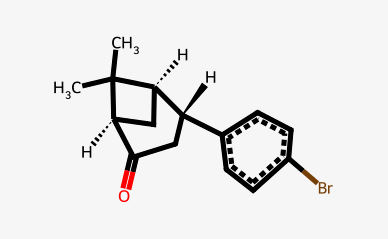 CC1(C)[C@@H]2C[C@H]1C(=O)C[C@H]2c1ccc(Br)cc1